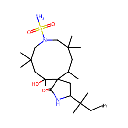 CC(C)CC(C)(C)C1CC2(C(=O)N1)C(C)CC(C)(C)CN(S(N)(=O)=O)CC(C)(C)CC2(C)O